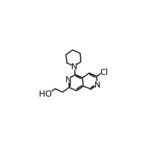 OCCc1cc2cnc(Cl)cc2c(N2CCCCC2)n1